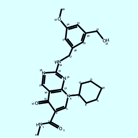 CNC(=O)c1cn(C2CCCCC2)c2nc(NCc3cc(CO)cc(OC)c3)ncc2c1=O